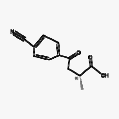 C[C@H](CC(=O)c1ccc(C#N)cc1)C(=O)O